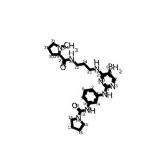 Bc1cnc(Nc2cccc(NC(=O)N3CCCC3)c2)nc1NCCCNC(=O)C1CCCN1C